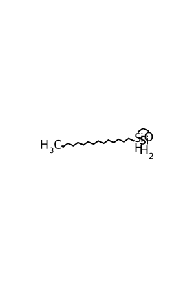 CCCCCCCCCCCCCCCC[SiH]1CCCO[SiH2]1